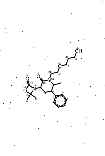 CC1C(c2ccccc2)CC(N2C(=O)OC2(C)C)C(=O)N1CCOCCCO